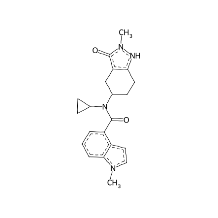 Cn1[nH]c2c(c1=O)CC(N(C(=O)c1cccc3c1ccn3C)C1CC1)CC2